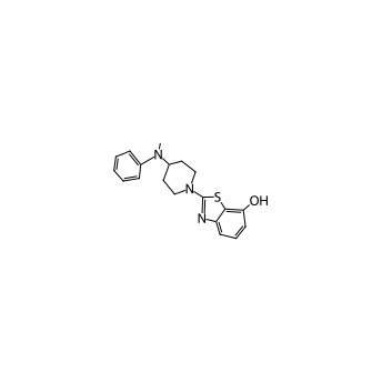 CN(c1ccccc1)C1CCN(c2nc3cccc(O)c3s2)CC1